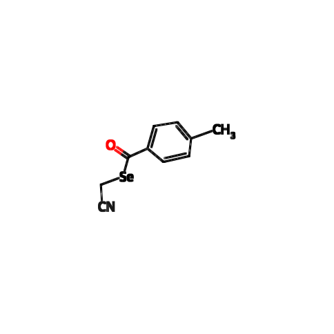 Cc1ccc(C(=O)[Se]CC#N)cc1